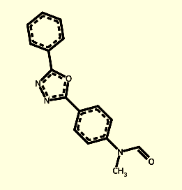 CN(C=O)c1ccc(-c2nnc(-c3ccccc3)o2)cc1